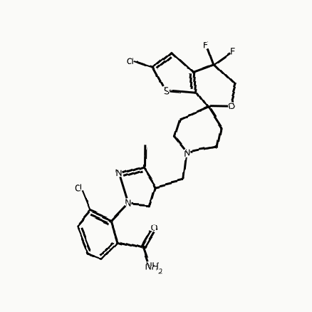 CC1=NN(c2c(Cl)cccc2C(N)=O)CC1CN1CCC2(CC1)OCC(F)(F)c1cc(Cl)sc12